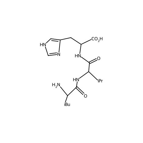 CCC(C)C(N)C(=O)NC(C(=O)NC(Cc1c[nH]cn1)C(=O)O)C(C)C